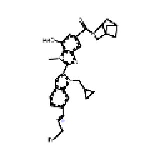 COc1cc(C(=O)N2CC34CC(CC23)C4)cc2nc(-c3cc4ccc(/C=C/CC(C)C)cc4n3CC3CC3)n(C)c12